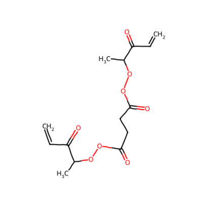 C=CC(=O)C(C)OOC(=O)CCC(=O)OOC(C)C(=O)C=C